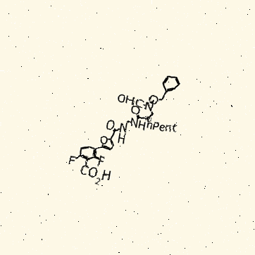 CCCCC[C@H](CN(C=O)OCc1ccccc1)C(=O)NCNC(=O)c1ccc(-c2ccc(F)c(C(=O)O)c2F)o1